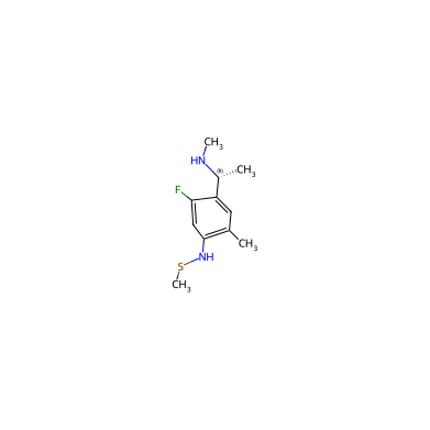 CN[C@H](C)c1cc(C)c(NSC)cc1F